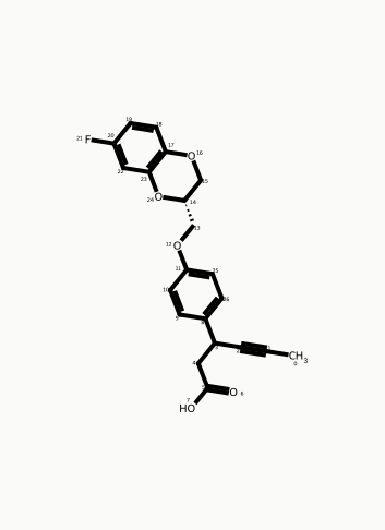 CC#CC(CC(=O)O)c1ccc(OC[C@H]2COc3ccc(F)cc3O2)cc1